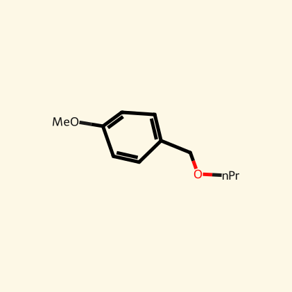 CCCOCc1ccc(OC)cc1